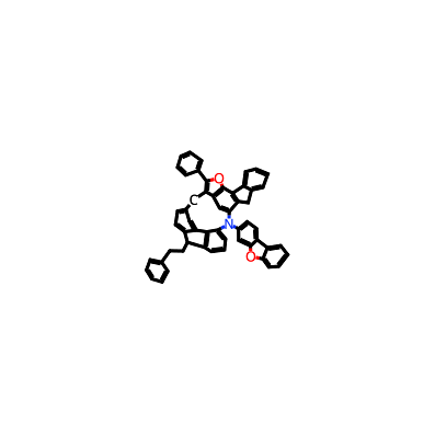 c1ccc(CCC2c3ccc4cc3-c3c2cccc3N(c2ccc3c(c2)oc2ccccc23)c2cc3c(c(-c5ccccc5)oc3c3c2Cc2ccccc2-3)C4)cc1